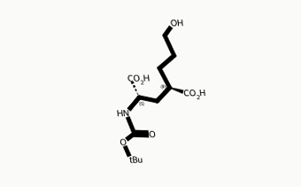 CC(C)(C)OC(=O)N[C@@H](C[C@@H](CCCO)C(=O)O)C(=O)O